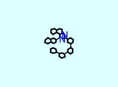 c1ccc(-c2cccc(-c3cccc(-c4cccc(-c5nc(-c6ccc7ccccc7c6)c6c(ccc7ccccc76)n5)c4)c3)c2)cc1